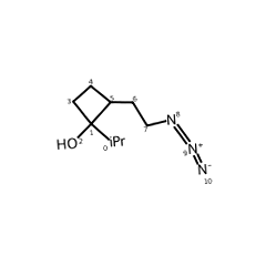 CC(C)C1(O)CCC1CCN=[N+]=[N-]